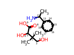 CC(C)(CO)C(O)C(=O)O.CC(N)c1ccccc1